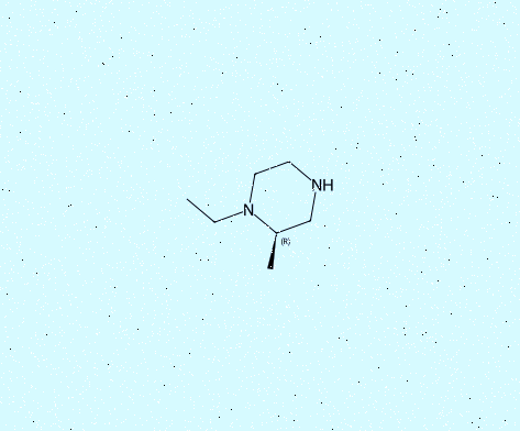 CCN1CCNC[C@H]1C